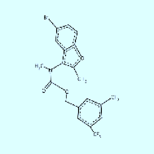 Cc1oc2ccc(Br)cc2c1N(C)C(=O)OCc1cc(C(F)(F)F)cc(C(F)(F)F)c1